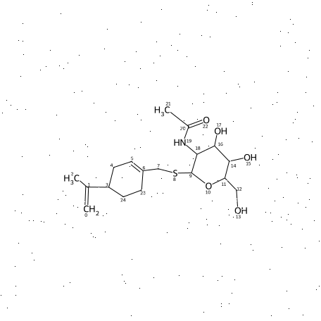 C=C(C)C1CC=C(CSC2OC(CO)C(O)C(O)C2NC(C)=O)CC1